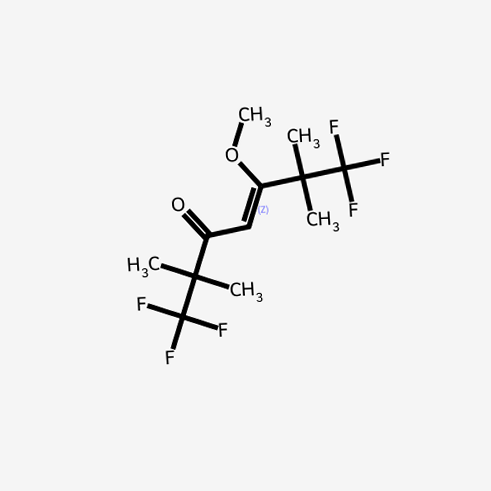 CO/C(=C\C(=O)C(C)(C)C(F)(F)F)C(C)(C)C(F)(F)F